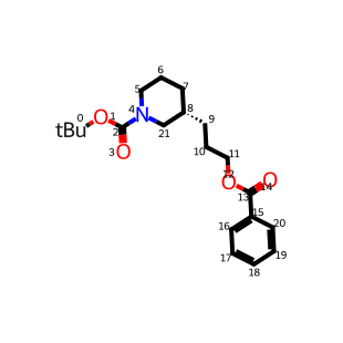 CC(C)(C)OC(=O)N1CCC[C@H](CCCOC(=O)c2ccccc2)C1